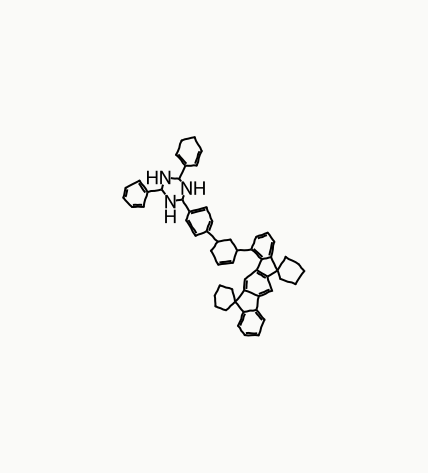 C1=CC(C2NC(c3ccccc3)NC(c3ccc(C4CC=CC(c5cccc6c5-c5cc7c(cc5C65CCCCC5)-c5ccccc5C75CCCCC5)C4)cc3)N2)=CCC1